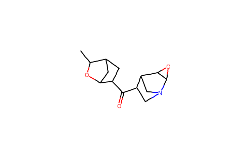 CC1OC2CC1CC2C(=O)C1CN2CC1C1OC12